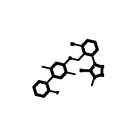 CCc1cccc(-n2nnn(C)c2=O)c1COc1cc(C)c(-c2ccccc2F)cc1C